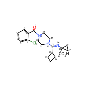 O=C(c1ccccc1Cl)N1CCN(C(=NC2(C(=O)O)CC2)C2CCC2)CC1